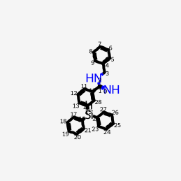 N=C(NCc1ccccc1)c1cccc([SiH](c2ccccc2)c2ccccc2)c1